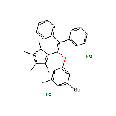 CC1=C(C)C(C)[C]([Ti]([O]c2cc(C)cc(C(C)(C)C)c2)=[C](c2ccccc2)c2ccccc2)=C1C.Cl.Cl